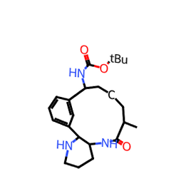 CC1CCCC(NC(=O)OC(C)(C)C)c2cccc(c2)C2NCCCC2NC1=O